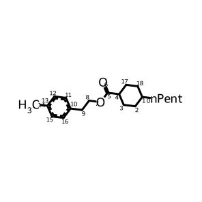 CCCCCC1CCC(C(=O)OCCc2ccc(C)cc2)CC1